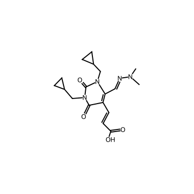 CN(C)/N=C/c1c(/C=C/C(=O)O)c(=O)n(CC2CC2)c(=O)n1CC1CC1